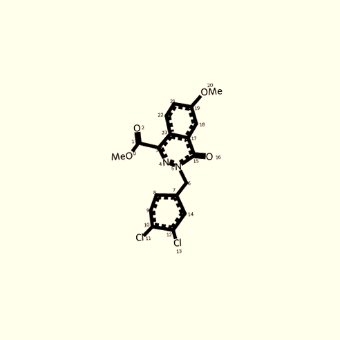 COC(=O)c1nn(Cc2ccc(Cl)c(Cl)c2)c(=O)c2cc(OC)ccc12